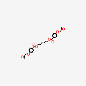 O=C(OCCCCCCOC(=O)c1ccc(OCC2CO2)cc1)c1ccc(OCC2CO2)cc1